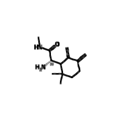 C=C1CCC(C)(C)C([C@H](N)C(=O)NC)C1=C